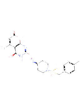 CCc1cc(=O)oc2nc(ON=C3CCN(S(=O)(=O)Cc4ccc(C)cc4)CC3)[nH]c(=O)c12